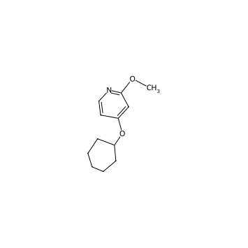 COc1cc(OC2CCCCC2)ccn1